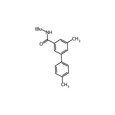 Cc1ccc(-c2cc(C)cc(C(=O)NC(C)(C)C)c2)cc1